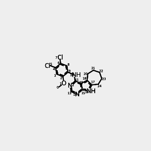 COc1cc(Cl)c(Cl)cc1Nc1ncnc2[nH]c3c(c12)CCCCC3